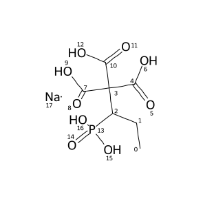 CCC(C(C(=O)O)(C(=O)O)C(=O)O)P(=O)(O)O.[Na]